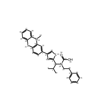 CC(C)C(c1nc(-c2ccc3c(c2)N(C)c2ccccc2S3)cs1)N(CCc1ccccc1)C(=O)O